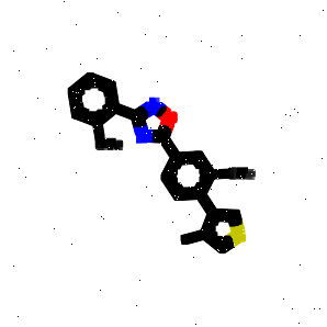 COc1ccccc1-c1noc(-c2ccc(-c3cscc3C)c(OC)c2)n1